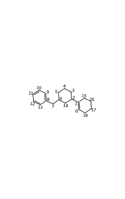 C1=C(C2CCCC(Cc3ccccc3)C2)CCCC1